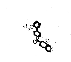 Cc1ccccc1C1CCN(C(=O)C2CCc3ccncc3C(=O)C2)CC1